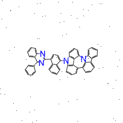 c1ccc(-c2nc(-c3ccc(-n4c5cccc6c7cccc8c9ccccc9n(c9cccc4c9c65)c78)c4ccccc34)nc3ccccc23)cc1